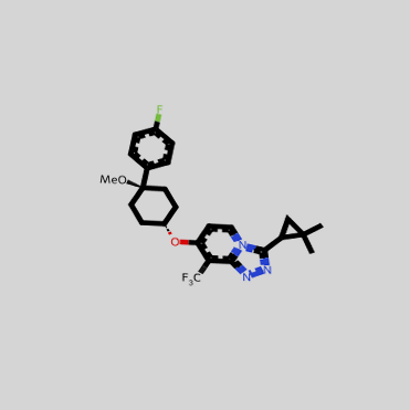 CO[C@]1(c2ccc(F)cc2)CC[C@@H](Oc2ccn3c(C4CC4(C)C)nnc3c2C(F)(F)F)CC1